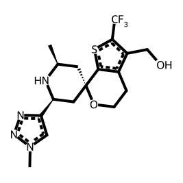 C[C@H]1C[C@@]2(C[C@@H](c3cn(C)nn3)N1)OCCc1c2sc(C(F)(F)F)c1CO